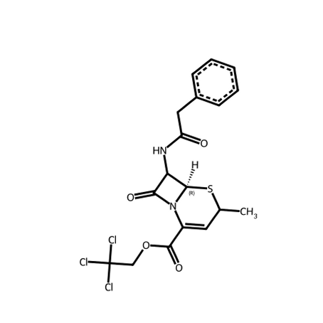 CC1C=C(C(=O)OCC(Cl)(Cl)Cl)N2C(=O)C(NC(=O)Cc3ccccc3)[C@H]2S1